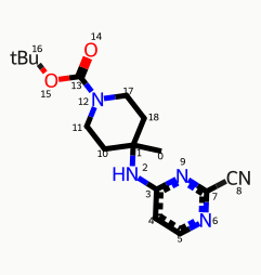 CC1(Nc2ccnc(C#N)n2)CCN(C(=O)OC(C)(C)C)CC1